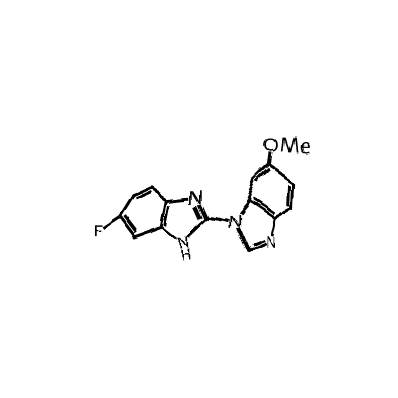 COc1ccc2ncn(-c3nc4ccc(F)cc4[nH]3)c2c1